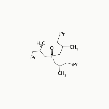 CC(C)CC(C)CP(=O)(CC(C)CC(C)C)CC(C)CC(C)C